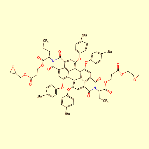 CC(C)(C)c1ccc(Oc2cc3c4c(cc(Oc5ccc(C(C)(C)C)cc5)c5c6c(Oc7ccc(C(C)(C)C)cc7)cc7c8c(cc(Oc9ccc(C(C)(C)C)cc9)c(c2c45)c86)C(=O)N(C(CC(F)(F)F)C(=O)OCCC(=O)OCC2CO2)C7=O)C(=O)N(C(CCC(F)(F)F)C(=O)OCCC(=O)OCC2CO2)C3=O)cc1